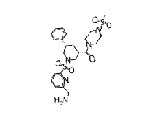 CS(=O)(=O)N1CCN(C(=O)[C@H]2C[C@@H](c3ccccc3)CN(S(=O)(=O)c3cccc(CN)n3)C2)CC1